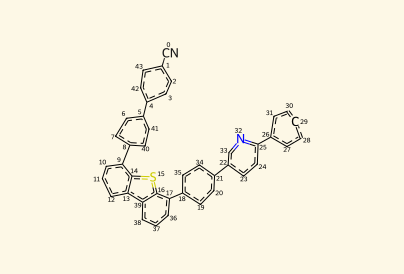 N#Cc1ccc(-c2ccc(-c3cccc4c3sc3c(-c5ccc(-c6ccc(-c7ccccc7)nc6)cc5)cccc34)cc2)cc1